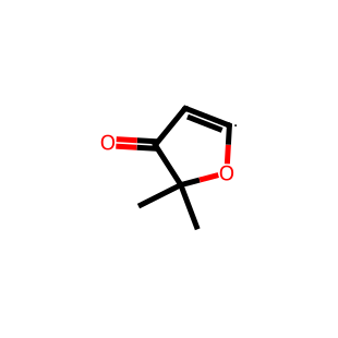 CC1(C)O[C]=CC1=O